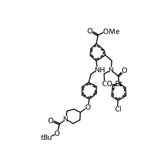 CCOC(=O)CN(Cc1cc(C(=O)OC)ccc1NCc1ccc(OC2CCN(C(=O)OC(C)(C)C)CC2)cc1)C(=O)c1ccc(Cl)cc1